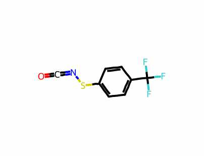 O=C=NSc1ccc(C(F)(F)F)cc1